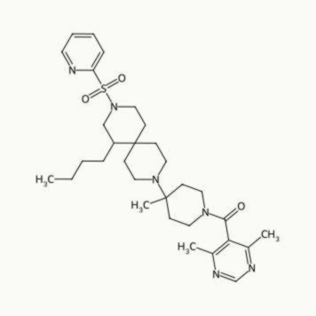 CCCCC1CN(S(=O)(=O)c2ccccn2)CCC12CCN(C1(C)CCN(C(=O)c3c(C)ncnc3C)CC1)CC2